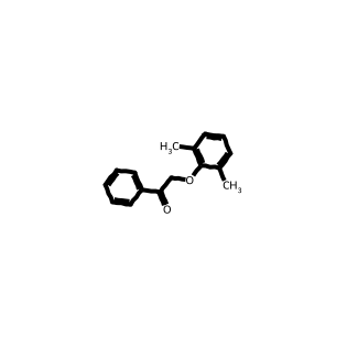 Cc1[c]ccc(C)c1OCC(=O)c1ccccc1